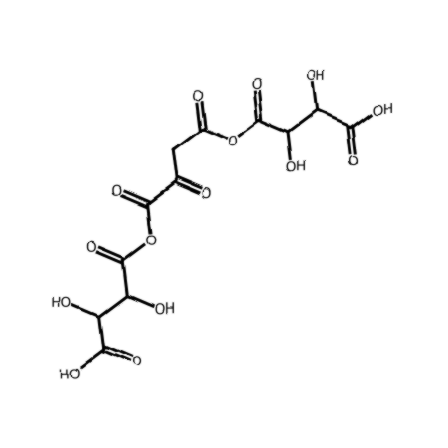 O=C(CC(=O)C(=O)OC(=O)C(O)C(O)C(=O)O)OC(=O)C(O)C(O)C(=O)O